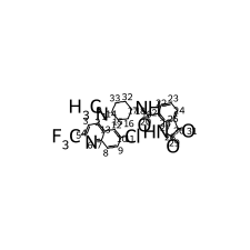 CN(c1cc(C(F)(F)F)nc2ccc(Cl)cc12)[C@H]1CC[C@@H](NC(=O)c2cccc3c2NC(=O)C3=O)CC1